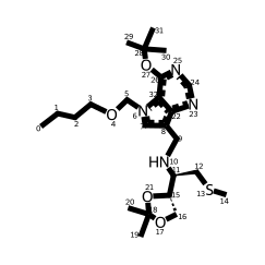 CCCCOCn1cc(CN[C@@H](CSC)[C@@H]2COC(C)(C)O2)c2ncnc(OC(C)(C)C)c21